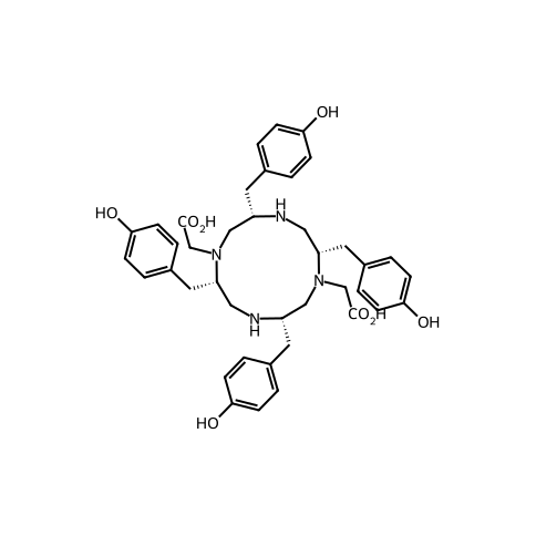 O=C(O)CN1C[C@H](Cc2ccc(O)cc2)NC[C@H](Cc2ccc(O)cc2)N(CC(=O)O)C[C@H](Cc2ccc(O)cc2)NC[C@@H]1Cc1ccc(O)cc1